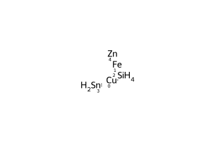 [Cu].[Fe].[SiH4].[SnH2].[Zn]